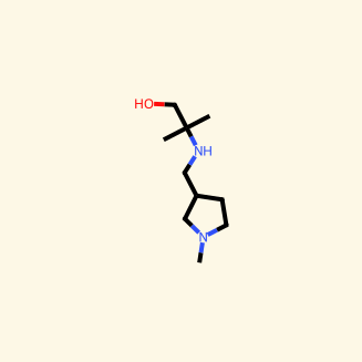 CN1CCC(CNC(C)(C)CO)C1